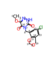 COc1n[nH]c(=O)n(Cc2cc(Cl)cc3c2OCOC3)c1=O